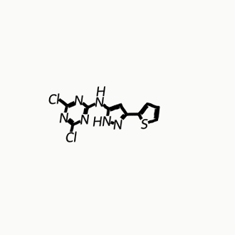 Clc1nc(Cl)nc(Nc2cc(-c3cccs3)n[nH]2)n1